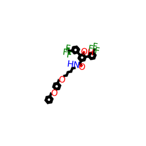 O=C(NCCCCCCOCc1ccc(OCc2ccccc2)cc1)c1cc(-c2cccc(C(F)(F)F)c2)c(O)c(-c2cccc(C(F)(F)F)c2)c1